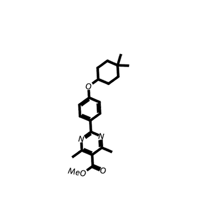 COC(=O)c1c(C)nc(-c2ccc(OC3CCC(C)(C)CC3)cc2)nc1C